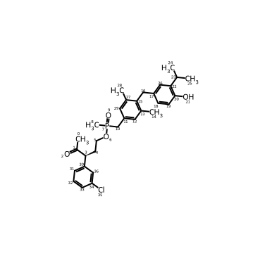 CC(=O)[C@@H](CCOP(C)(=O)Cc1cc(C)c(Cc2ccc(O)c(C(C)C)c2)c(C)c1)c1cccc(Cl)c1